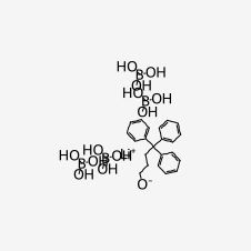 OB(O)O.OB(O)O.OB(O)O.OB(O)O.[Li+].[O-]CCCC(c1ccccc1)(c1ccccc1)c1ccccc1